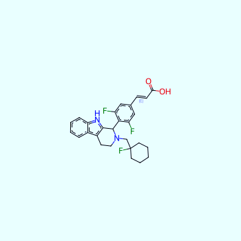 O=C(O)/C=C/c1cc(F)c(C2c3[nH]c4ccccc4c3CCN2CC2(F)CCCCC2)c(F)c1